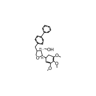 COC1=CC([C@H]2OCC(Cc3ccc(-c4ccccc4)cc3)[C@@H]2CO)CC(OC)=C1OC